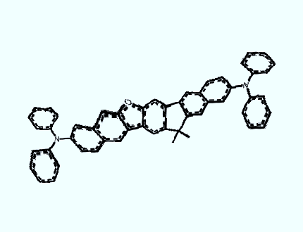 CC1(C)c2cc3cc(N(c4ccccc4)c4ccccc4)ccc3cc2-c2cc3oc4cc5cc(N(c6ccccc6)c6ccccc6)ccc5cc4c3cc21